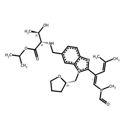 CC(C)=C/C(=C\N(C)C=O)c1nc2ccc(CN[C@H](C(=O)OC(C)C)[C@@H](C)O)cc2n1C[C@@H]1CCCO1